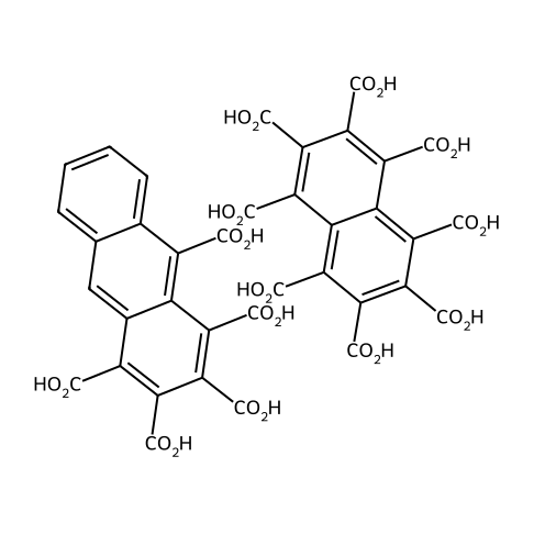 O=C(O)c1c(C(=O)O)c(C(=O)O)c2c(C(=O)O)c(C(=O)O)c(C(=O)O)c(C(=O)O)c2c1C(=O)O.O=C(O)c1c(C(=O)O)c(C(=O)O)c2c(C(=O)O)c3ccccc3cc2c1C(=O)O